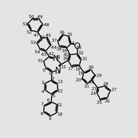 C1=C(c2ccc(-c3ccccc3)cc2)N=C(c2cc(-c3ccc(-c4ccccc4)cc3)cc3oc4ccccc4c23)N=C(c2ccc(-c3ccccc3)cc2)C1